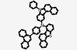 c1ccc(-n2c3ccc(N(c4ccc(-c5cc6ccccc6c6ccccc56)cc4)c4cccc5sc6c7ccccc7ccc6c45)cc3c3c4ccccc4ccc32)cc1